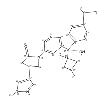 CC(C)c1ccc([C@](O)(c2cncc(N3CC(c4cnn(C)c4)CC3=O)c2)C2(C)CN(C)C2)cc1